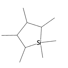 CC1C(C)C(C)[Si](C)(C)C1C